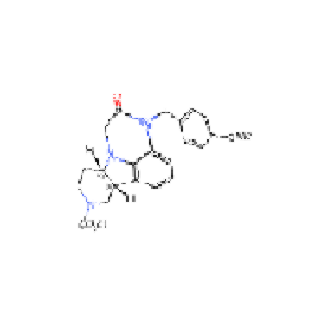 CCOC(=O)N1CC[C@H]2[C@@H](C1)c1cccc3c1N2CC(=O)N3Cc1ccc(OC)cc1